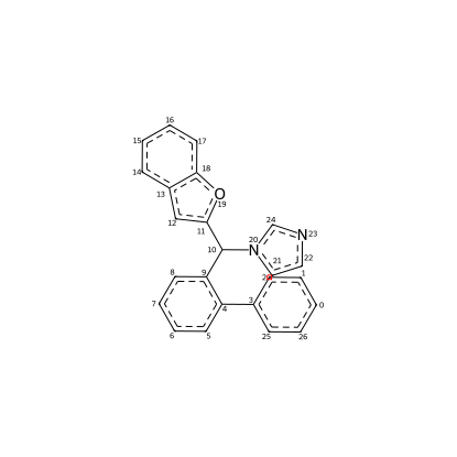 c1ccc(-c2ccccc2C(c2cc3ccccc3o2)n2ccnc2)cc1